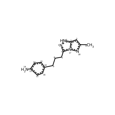 Cc1cc2[nH]nc(CCCc3ccc(N)cc3)n2n1